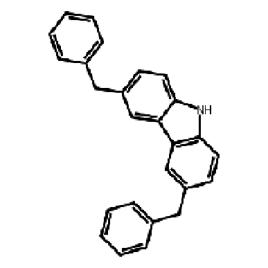 c1ccc(Cc2ccc3[nH]c4ccc(Cc5ccccc5)cc4c3c2)cc1